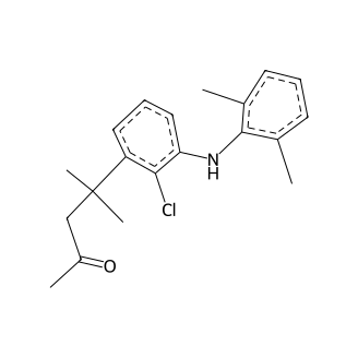 CC(=O)CC(C)(C)c1cccc(Nc2c(C)cccc2C)c1Cl